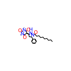 CCCCCCCCCC(=O)N1NC(=C2C(=O)N(C)C(=O)N(C)C2=O)CC1c1ccccc1